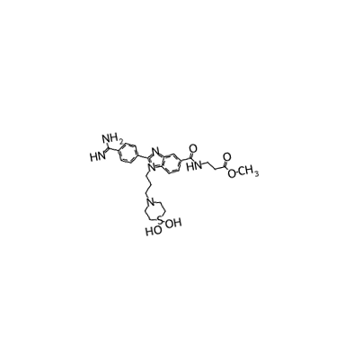 COC(=O)CCNC(=O)c1ccc2c(c1)nc(-c1ccc(C(=N)N)cc1)n2CCCN1CCS(O)(O)CC1